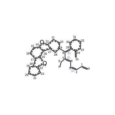 C=C\C=C/C=C(CC)/C(c1ccc2oc3ccc4c5ccccc5oc4c3c2c1)=c1/ccccc1=C